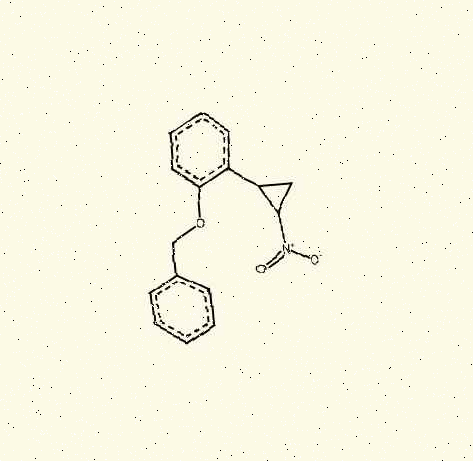 O=[N+]([O-])C1CC1c1ccccc1OCc1ccccc1